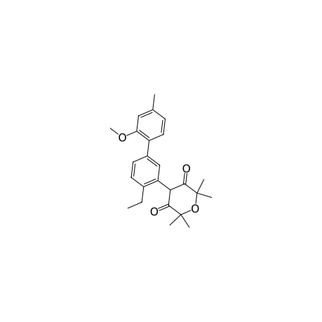 CCc1ccc(-c2ccc(C)cc2OC)cc1C1C(=O)C(C)(C)OC(C)(C)C1=O